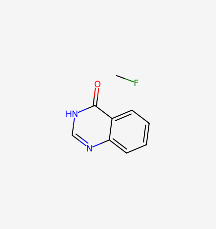 CF.O=c1[nH]cnc2ccccc12